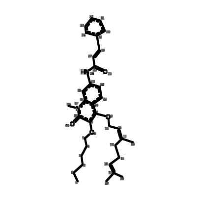 CCCCCCOc1c(OCC=C(C)CCC=C(C)C)c2ccc(NC(=O)C=Cc3ccccc3)cc2n(C)c1=O